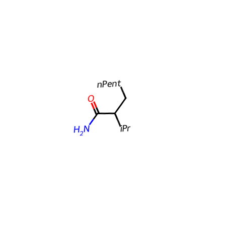 CCCCCCC(C(N)=O)C(C)C